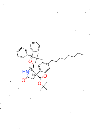 CCCCCCCCc1ccc([C@]2(C(=O)OC(C)(C)C)CC(=O)N[C@H]2CO[Si](c2ccccc2)(c2ccccc2)C(C)(C)C)cc1